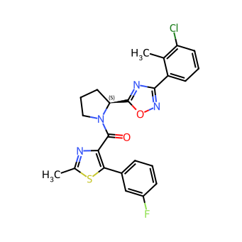 Cc1nc(C(=O)N2CCC[C@H]2c2nc(-c3cccc(Cl)c3C)no2)c(-c2cccc(F)c2)s1